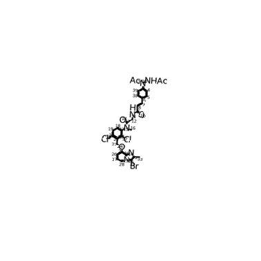 CC(=O)NN(C(C)=O)c1ccc(C=CC(=O)NCC(=O)N(C)c2ccc(Cl)c(COc3cccn4c(Br)c(C)nc34)c2Cl)cc1